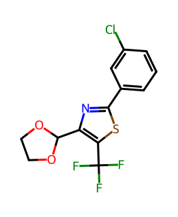 FC(F)(F)c1sc(-c2cccc(Cl)c2)nc1C1OCCO1